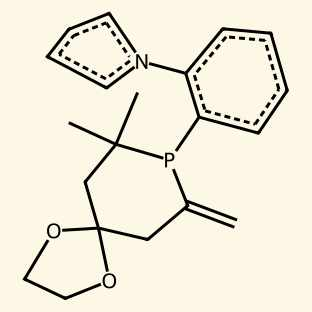 C=C1CC2(CC(C)(C)P1c1ccccc1-n1cccc1)OCCO2